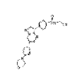 N#CCNC(=O)c1ccc(-c2cnn3cc(-c4ccc(N5CCOCC5)cc4)cnc23)cc1